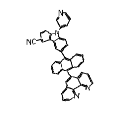 N#Cc1ccc2c(c1)c1cc(-c3c4ccccc4c(-c4cc5cccnc5c5ncccc45)c4ccccc34)ccc1n2-c1cccnc1